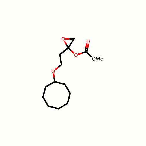 COC(=O)OC1(CCOC2CCCCCCC2)CO1